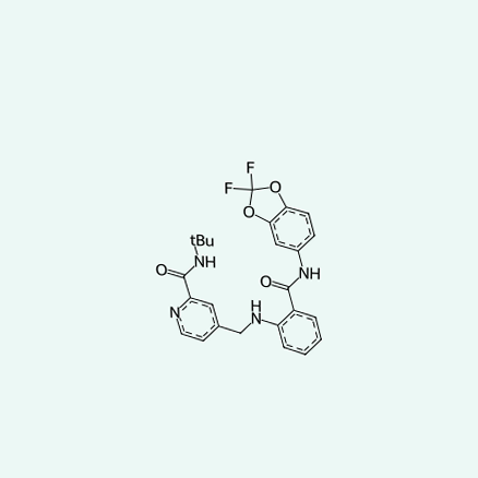 CC(C)(C)NC(=O)c1cc(CNc2ccccc2C(=O)Nc2ccc3c(c2)OC(F)(F)O3)ccn1